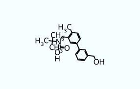 Cc1ccc(-c2cccc(CO)c2)cc1CN(C(=O)O)C(C)(C)C